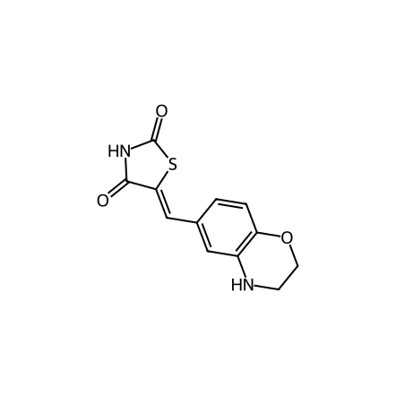 O=C1NC(=O)C(=Cc2ccc3c(c2)NCCO3)S1